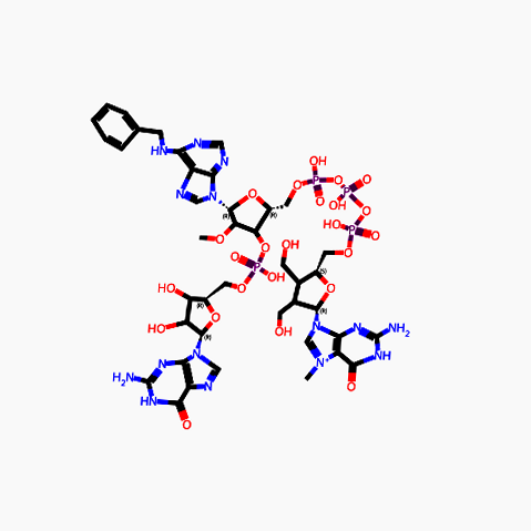 COC1C(OP(=O)(O)OC[C@H]2O[C@@H](n3cnc4c(=O)[nH]c(N)nc43)C(O)C2O)[C@@H](COP(=O)(O)OP(=O)(O)OP(=O)(O)OC[C@H]2O[C@@H](n3c[n+](C)c4c(=O)[nH]c(N)nc43)C(CO)C2CO)O[C@H]1n1cnc2c(NCc3ccccc3)ncnc21